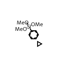 C1CC1.CO[Si](OC)(OC)c1ccccc1